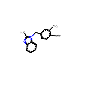 CNc1ccc(Cn2c(C)nc3ccccc32)cc1[N+](=O)[O-]